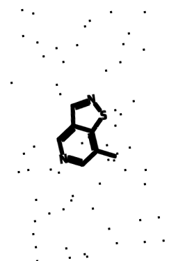 Cc1cncc2cnsc12